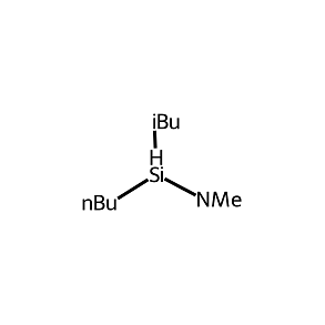 CCCC[SiH](NC)C(C)CC